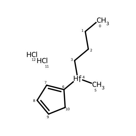 CCC[CH2][Hf]([CH3])[C]1=CC=CC1.Cl.Cl